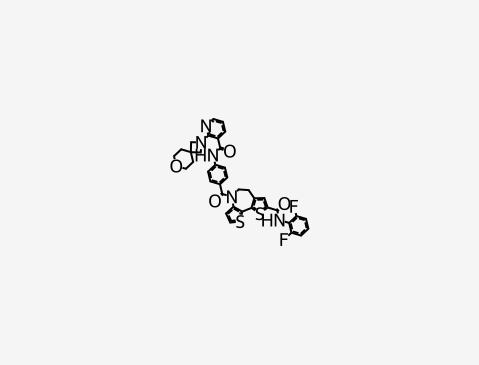 O=C(Nc1c(F)cccc1F)c1cc2c(s1)-c1sccc1N(C(=O)c1ccc(NC(=O)c3cccnc3N3CC4(CCOCC4)C3)cc1)CC2